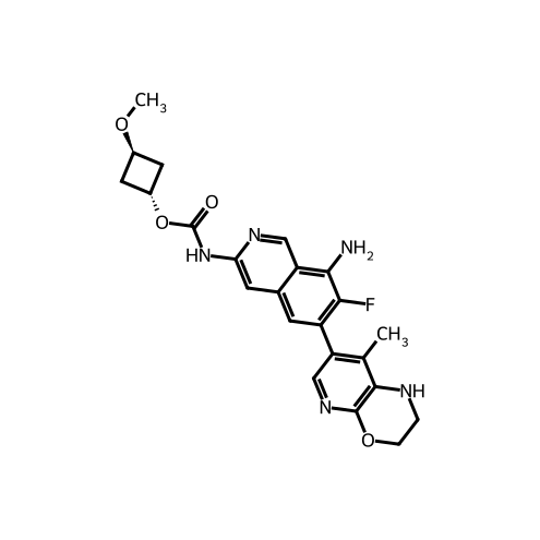 CO[C@H]1C[C@H](OC(=O)Nc2cc3cc(-c4cnc5c(c4C)NCCO5)c(F)c(N)c3cn2)C1